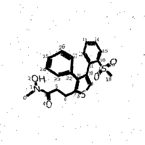 CN(O)C(=O)CCc1scc(-c2ccccc2S(C)(=O)=O)c1-c1ccccc1